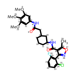 COc1cc(NC(=O)CC2CCCC(NC(=O)c3c(-c4c(F)cccc4Cl)noc3C)C2)cc(OC)c1OC